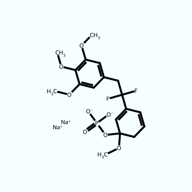 COc1cc(CC(F)(F)C2=CC(OC)(OP(=O)([O-])[O-])CC=C2)cc(OC)c1OC.[Na+].[Na+]